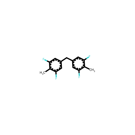 Cc1c(F)cc(Cc2cc(F)c(C)c(F)c2)cc1F